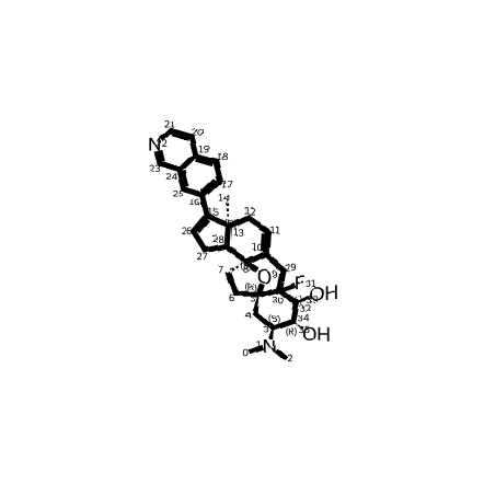 CN(C)[C@H]1C[C@@]23CC[C@@]4(O2)C(=CC[C@]2(C)C(c5ccc6ccncc6c5)=CCC24)CC3(F)[C@@H](O)[C@@H]1O